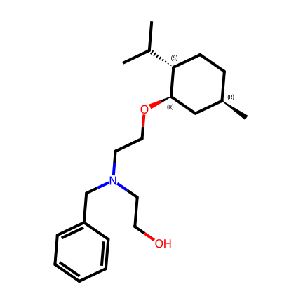 CC(C)[C@@H]1CC[C@@H](C)C[C@H]1OCCN(CCO)Cc1ccccc1